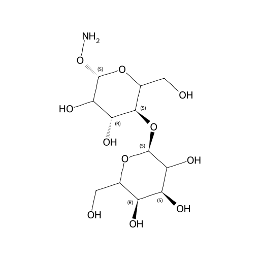 NO[C@@H]1OC(CO)[C@@H](O[C@@H]2OC(CO)[C@H](O)[C@H](O)C2O)[C@H](O)C1O